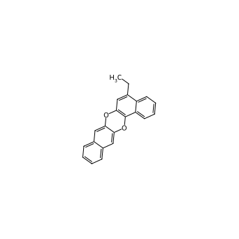 CCc1cc2c(c3ccccc13)Oc1cc3ccccc3cc1O2